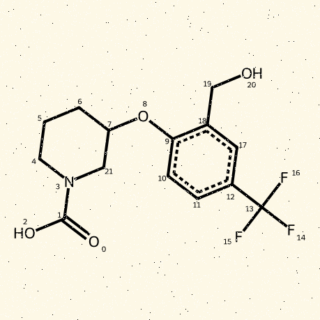 O=C(O)N1CCCC(Oc2ccc(C(F)(F)F)cc2CO)C1